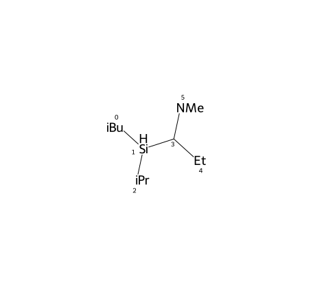 CCC(C)[SiH](C(C)C)C(CC)NC